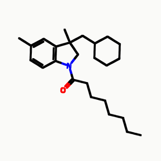 CCCCCCCC(=O)N1CC(C)(CC2CCCCC2)c2cc(C)ccc21